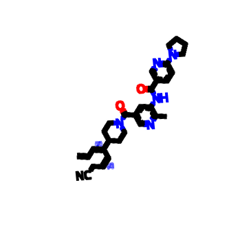 C=C/C=C(\C=C/CC#N)C1CCN(C(=O)c2cnc(C)c(NC(=O)c3ccc(N4CCCC4)nc3)c2)CC1